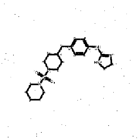 O=S(=O)(N1CCCCC1)N1CCC(Cc2ccc(NC3=NCCN3)cc2)CC1